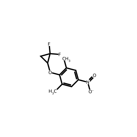 Cc1cc([N+](=O)[O-])cc(C)c1OC1CC1(F)F